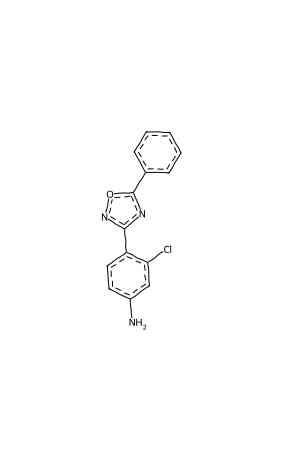 Nc1ccc(-c2noc(-c3ccccc3)n2)c(Cl)c1